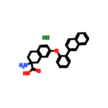 Cl.NC1(C(=O)O)CCc2ccc(Oc3ccccc3-c3ccc4ccccc4c3)cc2C1